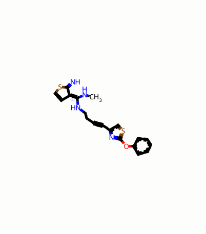 CN/C(NCCC#Cc1csc(Oc2ccccc2)n1)=C1/C=CSC1=N